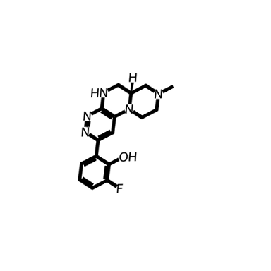 CN1CCN2c3cc(-c4cccc(F)c4O)nnc3NC[C@@H]2C1